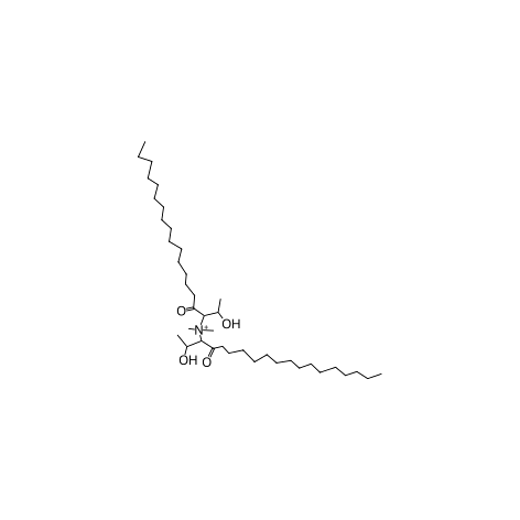 CCCCCCCCCCCCCCCC(=O)C(C(C)O)[N+](C)(C)C(C(=O)CCCCCCCCCCCCCCC)C(C)O